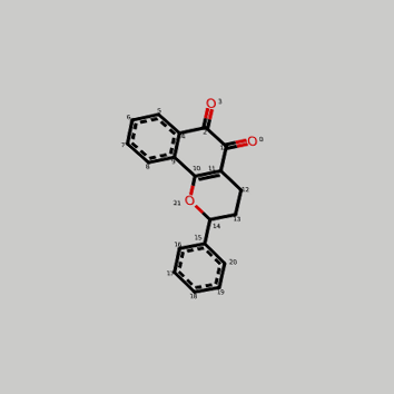 O=C1C(=O)c2ccccc2C2=C1CCC(c1ccccc1)O2